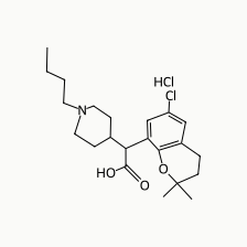 CCCCN1CCC(C(C(=O)O)c2cc(Cl)cc3c2OC(C)(C)CC3)CC1.Cl